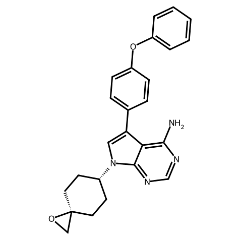 Nc1ncnc2c1c(-c1ccc(Oc3ccccc3)cc1)cn2[C@H]1CC[C@]2(CC1)CO2